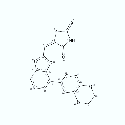 O=C1NC(=S)SC1=Cc1cc2cncc(-c3ccc4c(c3)OCCO4)c2o1